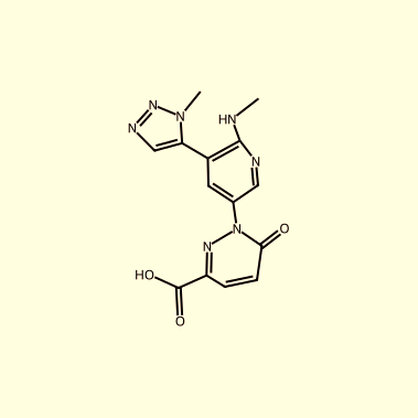 CNc1ncc(-n2nc(C(=O)O)ccc2=O)cc1-c1cnnn1C